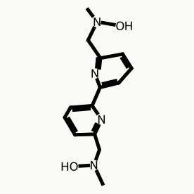 CN(O)Cc1cccc(-c2cccc(CN(C)O)n2)n1